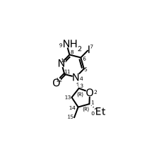 CC[C@H]1O[C@@H](n2cc(I)c(N)nc2=O)CC1C